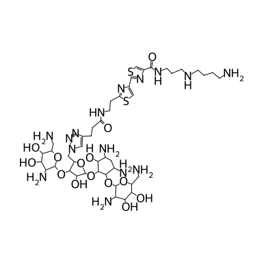 NCCCCNCCCNC(=O)c1csc(-c2csc(CCNC(=O)CCc3cn(CC4OC(OC5C(O)C(N)CC(N)C5OC5OC(CN)C(O)C(O)C5N)C(O)C4OC4OC(CN)C(O)C(O)C4N)nn3)n2)n1